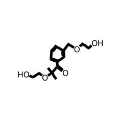 CC(C)(OCCO)C(=O)c1cccc(COCCO)c1